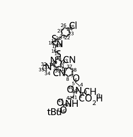 C[C@@H](C(=O)O)N(CCOc1ccc(-c2c(C#N)c(SCc3csc(-c4ccc(Cl)cc4)n3)nc(N3CCC3)c2C#N)cc1)C(=O)CCNC(=O)OC(C)(C)C